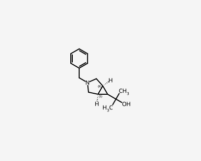 CC(C)(O)C1[C@H]2CN(Cc3ccccc3)C[C@@H]12